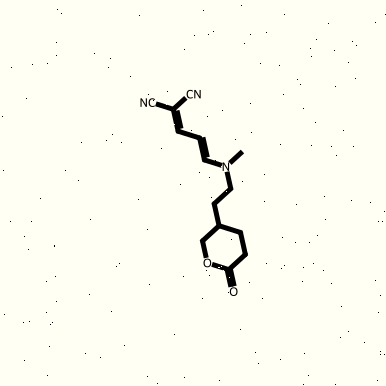 CN(/C=C/C=C(C#N)C#N)CCC1CCC(=O)OC1